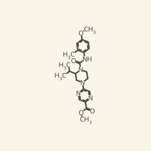 COC(=O)c1cnc(N2CCN(C(=O)Nc3ccc(OC)cc3C)C(C(C)C)C2)cn1